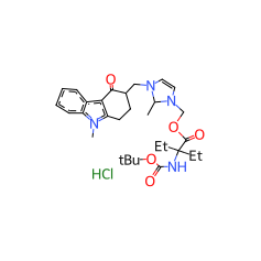 CCC(CC)(NC(=O)OC(C)(C)C)C(=O)OCN1C=CN(CC2CCc3c(c4ccccc4n3C)C2=O)C1C.Cl